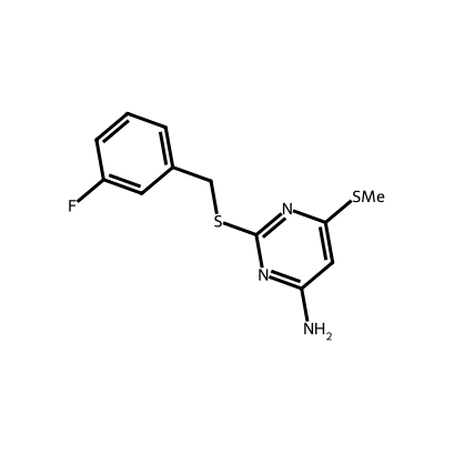 CSc1cc(N)nc(SCc2cccc(F)c2)n1